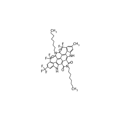 CCCCCCCCN1C(=O)c2c3[nH]c4cc(C)cc(C(F)(F)F)c4c3c3c4c(c5c([nH]c6cc(C(F)(F)F)cc(C(F)(F)F)c65)c(c24)C1=O)C(=O)N(CCCCCCCC)C3=O